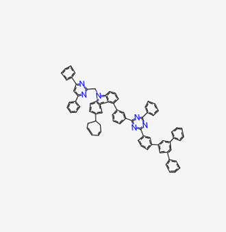 C1=CCC(c2ccc3c(c2)c2c(-c4cccc(-c5nc(-c6ccccc6)nc(-c6cccc(-c7cc(-c8ccccc8)cc(-c8ccccc8)c7)c6)n5)c4)cccc2n3Cc2nc(-c3ccccc3)cc(-c3ccccc3)n2)CC=C1